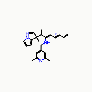 C=C/C=C/C=C(\NCc1cc(C)nc(C)c1)C(C)C(C)(C=C)c1ccc[nH]1